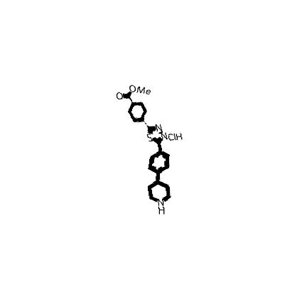 COC(=O)[C@H]1CC[C@H](c2nnc(-c3ccc(C4CCNCC4)cc3)s2)CC1.Cl